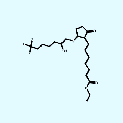 CCOC(=O)CCCCCCC1C(=O)CCC1SCC(O)CCCCC(F)(F)F